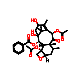 CC(=O)O[C@H]1C(=O)[C@@]2(C)[C@H]([C@H](OC(=O)c3ccccc3)[C@]3(O)CC(O)C(C)=C1C3(C)C)[C@]1(OC(C)=O)CO[C@@H]1C[C@@H]2C